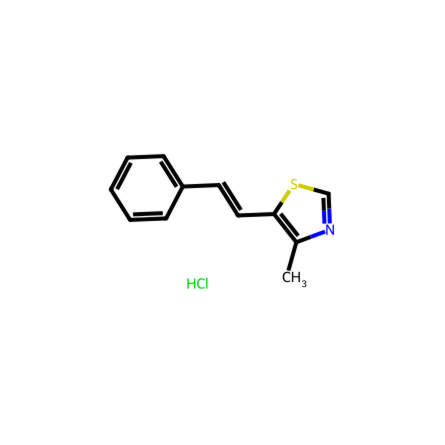 Cc1ncsc1C=Cc1ccccc1.Cl